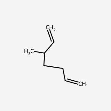 [CH]=CCCC(C)C=C